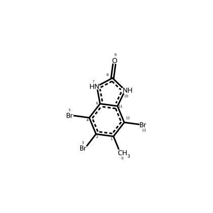 Cc1c(Br)c(Br)c2[nH]c(=O)[nH]c2c1Br